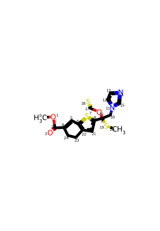 COC(=O)C1=Cc2sc(C(Cn3ccnc3)(OC=S)SC)cc2CC1